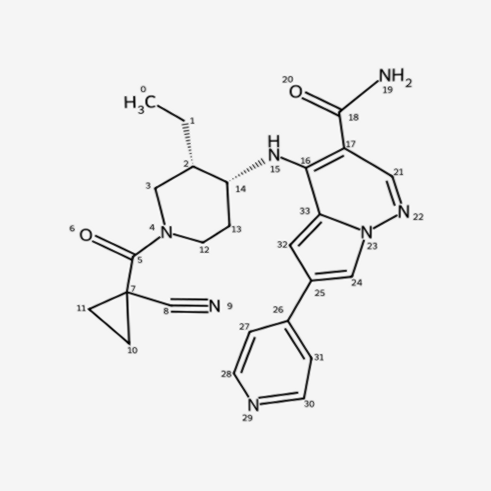 CC[C@H]1CN(C(=O)C2(C#N)CC2)CC[C@H]1Nc1c(C(N)=O)cnn2cc(-c3ccncc3)cc12